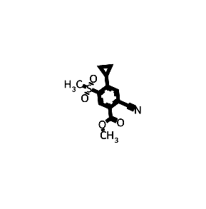 COC(=O)c1cc(S(C)(=O)=O)c(C2CC2)cc1C#N